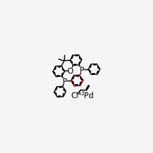 C=CCCl.CC1(C)c2cccc(P(c3ccccc3)c3ccccc3)c2Oc2c(P(c3ccccc3)c3ccccc3)cccc21.[42Pd]